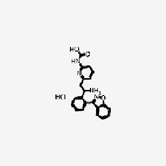 Cl.NC(Cc1cccc(NC(=O)O)n1)c1ccccc1-c1noc2ccccc12